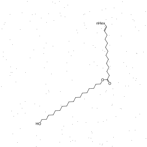 CCCCCCC=CCCCCCCCCCCCC(=O)OCCCCCCCCCCCCCCCCCCO